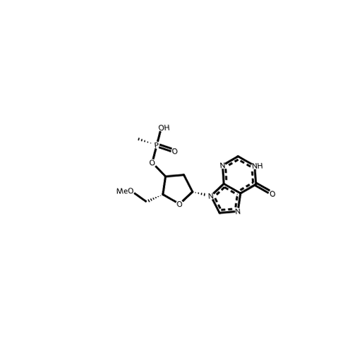 COC[C@H]1O[C@@H](n2cnc3c(=O)[nH]cnc32)CC1O[P@](C)(=O)O